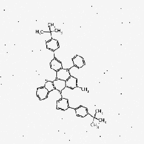 Cc1cc2c3c(c1)N(c1cccc(-c4ccc(C(C)(C)C)cc4)c1)c1c(sc4ccccc14)B3c1ccc(-c3ccc(C(C)(C)C)cc3)cc1N2c1ccccc1